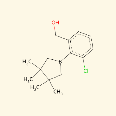 CC1(C)CB(c2c(Cl)cccc2CO)CC1(C)C